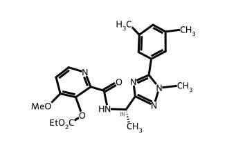 CCOC(=O)Oc1c(OC)ccnc1C(=O)N[C@@H](C)c1nc(-c2cc(C)cc(C)c2)n(C)n1